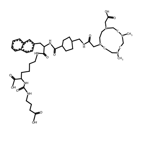 CN1CCN(C)CCN(CC(=O)NCC2CCC(C(=O)NC(Cc3ccc4ccccc4c3)C(=O)NCCCCC(NC(=O)NCCCC(=O)O)C(=O)O)CC2)CCN(CC(=O)O)CC1